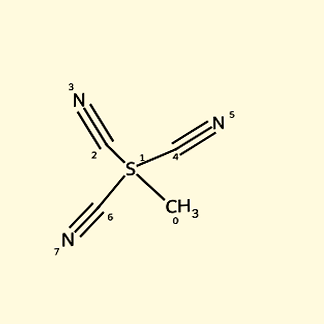 CS(C#N)(C#N)C#N